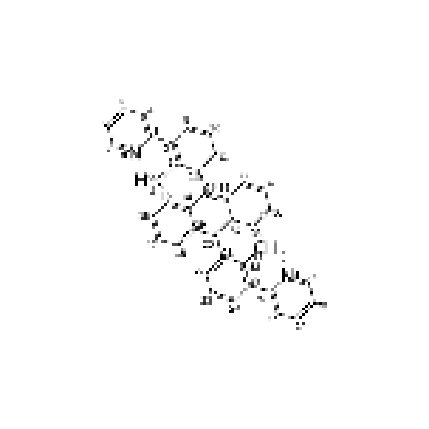 Cc1c(-c2ccccn2)cccc1-c1c2ccccc2c(-c2cccc(-c3ccccn3)c2C)c2ccccc12